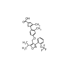 Cc1cc(OCc2c(-c3ccccc3OC(F)(F)F)noc2C(C)C)ccc1-c1sc(C(=O)O)cc1C